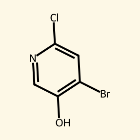 Oc1cnc(Cl)cc1Br